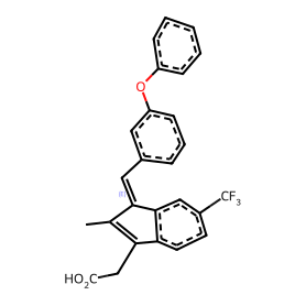 CC1=C(CC(=O)O)c2ccc(C(F)(F)F)cc2/C1=C\c1cccc(Oc2ccccc2)c1